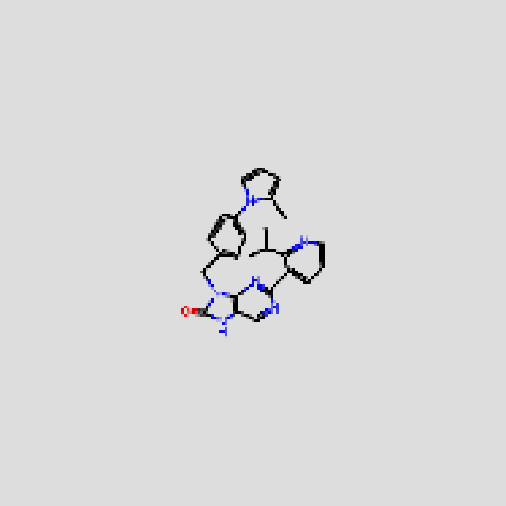 Cc1cccn1-c1ccc(Cn2c(=O)[nH]c3cnc(-c4cccnc4C(C)C)nc32)cc1